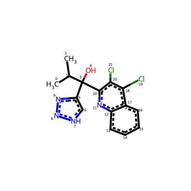 CC(C)C(O)(c1c[nH]nn1)c1nc2ccccc2c(Cl)c1Cl